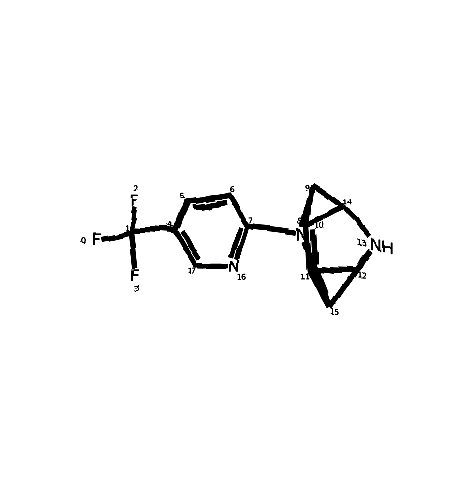 FC(F)(F)c1ccc(N2C3C4=C5C(NC43)C52)nc1